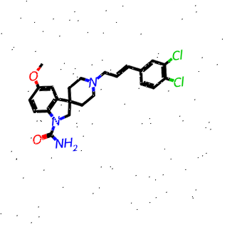 COc1ccc2c(c1)C1(CCN(CC=Cc3ccc(Cl)c(Cl)c3)CC1)CN2C(N)=O